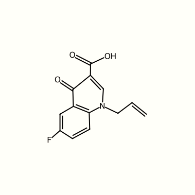 C=CCn1cc(C(=O)O)c(=O)c2cc(F)ccc21